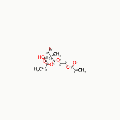 C=CC(=O)OCCOC(OC(=O)C=C)C(C)(CO)CBr